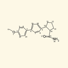 COc1ccc(-c2ccc(C3CCCC3C(N)=O)cc2)cc1